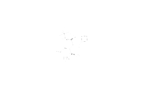 CCC[C@H](C(N)=O)[C@@H](CC1CCC1)C(=O)NC(C)(C)C